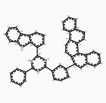 c1ccc(-c2nc(-c3cccc(-c4cc5ccccc5c5c4ccc4c6ccccc6ccc45)c3)nc(-c3cccc4c3sc3ccccc34)n2)cc1